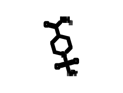 CCCS(=O)(=O)N1CCC(C(N)=O)CC1